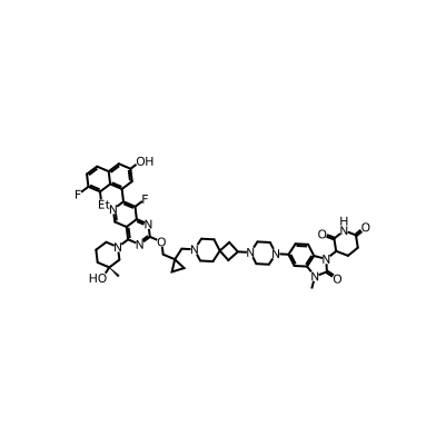 CCc1c(F)ccc2cc(O)cc(-c3ncc4c(N5CCC[C@@](C)(O)C5)nc(OCC5(CN6CCC7(CC6)CC(N6CCN(c8ccc9c(c8)n(C)c(=O)n9C8CCC(=O)NC8=O)CC6)C7)CC5)nc4c3F)c12